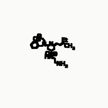 CC/C(C)=C\C=C1/C[C@@H](S(=O)(=O)NCCN)CC(N2CCS(=O)(=O)c3ccccc3C2)=N1